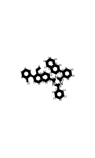 C=Cc1c(-c2ccccc2C)ccc2cc(-c3nc(-c4ccccc4)nc(-c4ccccc4-c4ccc5ccccc5c4)n3)ccc12